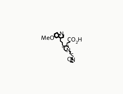 COc1ccc2nccc(CCC[C@@H]3CCN(CCSc4ncco4)C[C@@H]3CCC(=O)O)c2c1